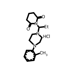 CCC(N1CCN(c2ccccc2C)CC1)N1C(=O)CCCC1=O.Cl